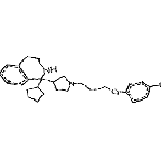 N#Cc1ccc(OCCCN2CCC(C3(C4CCCC4)NCCc4ccccc43)C2)cc1